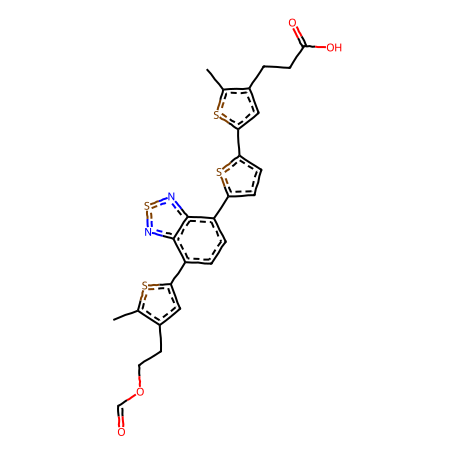 Cc1sc(-c2ccc(-c3ccc(-c4cc(CCOC=O)c(C)s4)c4nsnc34)s2)cc1CCC(=O)O